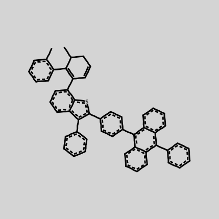 Cc1ccccc1C1=C(c2cccc3c(-c4ccccc4)c(-c4ccc(-c5c6ccccc6c(-c6ccccc6)c6ccccc56)cc4)sc23)C=CCC1C